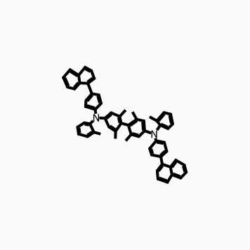 Cc1ccccc1N(c1ccc(-c2cccc3ccccc23)cc1)c1cc(C)c(-c2c(C)cc(N(c3ccc(-c4cccc5ccccc45)cc3)c3ccccc3C)cc2C)c(C)c1